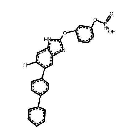 O=[PH](O)Oc1cccc(Oc2nc3cc(-c4ccc(-c5ccccc5)cc4)c(Cl)cc3[nH]2)c1